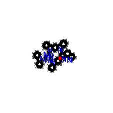 c1cnc2c(c1)ccc1c(-n3c4ccccc4c4cc5c6ccccc6n(-c6nc(-n7c8ccccc8c8ccccc87)nc(-n7c8ccccc8c8ccccc87)n6)c5cc43)ccnc12